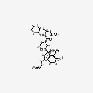 CNCC(CC1CCCCC1)NC(=O)N1CCOC(C(CCCCOC)(NC(C)=O)c2cccc(Cl)c2F)C1